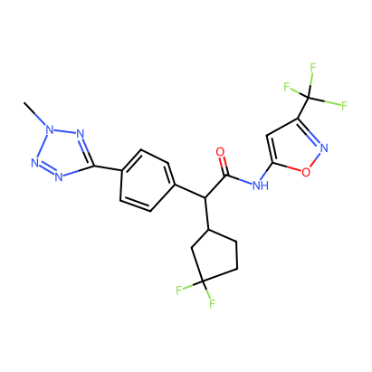 Cn1nnc(-c2ccc(C(C(=O)Nc3cc(C(F)(F)F)no3)C3CCC(F)(F)C3)cc2)n1